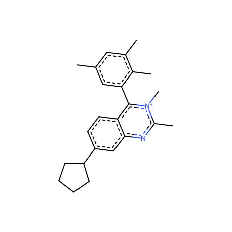 Cc1cc(C)c(C)c(-c2c3ccc(C4CCCC4)cc3nc(C)[n+]2C)c1